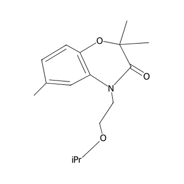 Cc1ccc2c(c1)N(CCOC(C)C)C(=O)C(C)(C)O2